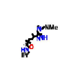 CNCCN(C)Cc1c[nH]nc1C(C)CCC(C)(C)[C@@H](C)C(=O)NCC(C)C